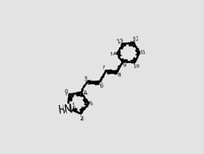 [c]1[nH]ccc1C=CC=Cc1ccccc1